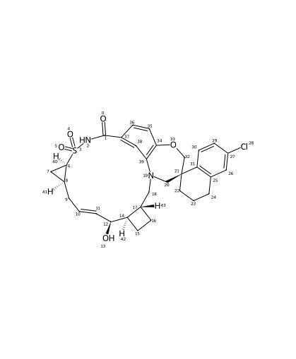 O=C1NS(=O)(=O)[C@@H]2C[C@@H]2C/C=C/[C@H](O)[C@@H]2CC[C@H]2CN2C[C@@]3(CCCc4cc(Cl)ccc43)COc3ccc1cc32